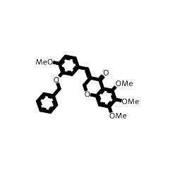 COc1ccc(/C=C2\COc3cc(OC)c(OC)c(OC)c3C2=O)cc1OCc1ccccc1